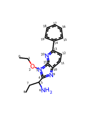 CCOn1c(C(N)CC)nc2ccc(-c3ccccc3)nc21